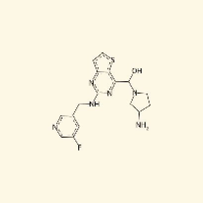 NC1CCN(C(O)c2nc(NCc3cncc(F)c3)nc3ccsc23)C1